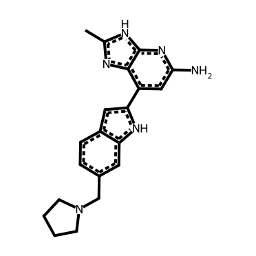 Cc1nc2c(-c3cc4ccc(CN5CCCC5)cc4[nH]3)cc(N)nc2[nH]1